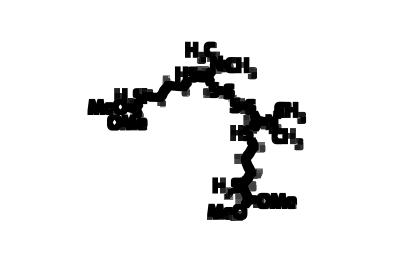 COC(OC)[SiH2]CCC[SH]=C(SSSSC(=[SH]CCC[SiH2]C(OC)OC)N(C)C)N(C)C